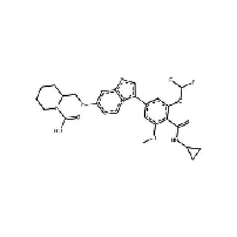 COc1cc(-c2cnc3cc(OCC4CCCCN4C(=O)O)ccn23)cc(OC(F)F)c1C(=O)NC1CC1